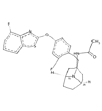 CC(=O)NC1C[C@H]2CC[C@@H](C1)N2Cc1ccc(Oc2nc3c(F)cccc3s2)cc1F